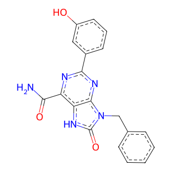 NC(=O)c1nc(-c2cccc(O)c2)nc2c1[nH]c(=O)n2Cc1ccccc1